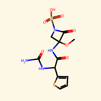 COC1(NC(=O)C(NC(N)=O)c2cccs2)CN(S(=O)(=O)O)C1=O